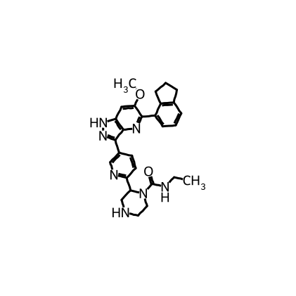 CCNC(=O)N1CCNCC1c1ccc(-c2n[nH]c3cc(OC)c(-c4cccc5c4CCC5)nc23)cn1